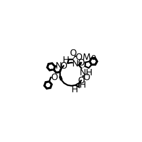 COC(=O)[C@@H]1C[C@@H]2CN1C(=O)[C@H](C1Cc3ccccc3C1)NC(=O)O[C@@H]1C[C@H]1CCCC#Cc1c(nc3ccccc3c1OCc1ccccc1)O2